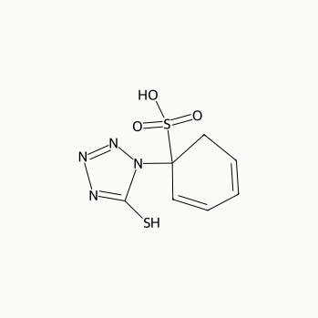 O=S(=O)(O)C1(n2nnnc2S)C=CC=CC1